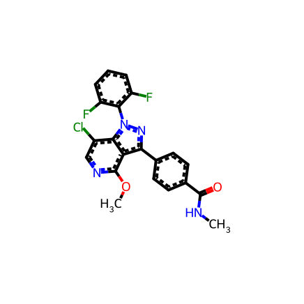 CNC(=O)c1ccc(-c2nn(-c3c(F)cccc3F)c3c(Cl)cnc(OC)c23)cc1